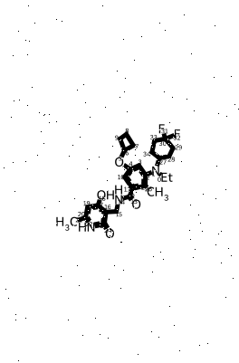 CCN(c1cc(OC2CCC2)cc(C(=O)NCc2c(O)cc(C)[nH]c2=O)c1C)C1CCC(F)(F)CC1